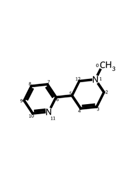 CN1CC=CC(c2ccccn2)C1